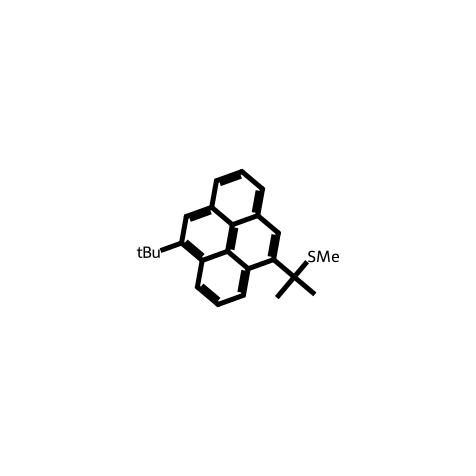 CSC(C)(C)c1cc2cccc3cc(C(C)(C)C)c4cccc1c4c32